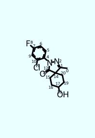 CC1=NN(c2ccc(F)cc2Cl)C(=O)C12CCC(O)CC2